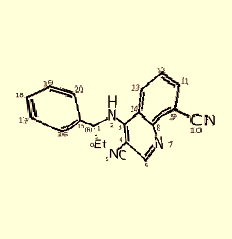 CC[C@@H](Nc1c(C#N)cnc2c(C#N)cccc12)c1ccccc1